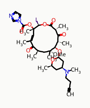 C#CCCN(C)[C@@H]1C[C@H](O[C@@H]2[C@@H](C)C(=O)[C@@H](C)C(=O)O[C@H](I)[C@@](C)(OC(=O)n3ccnc3)/C=C(\C)C(=O)[C@H](C)C[C@@]2(C)OC)O[C@H](C)C1